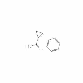 NC(=O)C1CC1.c1ccccc1